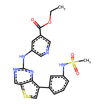 CCOC(=O)c1cncc(Nc2ncc3scc(-c4cccc(NS(C)(=O)=O)c4)c3n2)c1